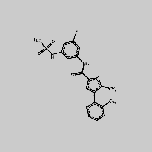 Cc1cccnc1-c1cc(C(=O)Nc2cc(F)cc(NS(C)(=O)=O)c2)sc1C